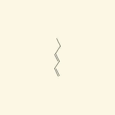 C=CC=CCC